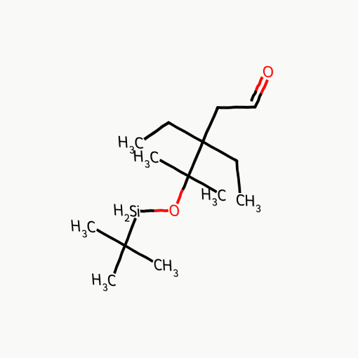 CCC(CC)(CC=O)C(C)(C)O[SiH2]C(C)(C)C